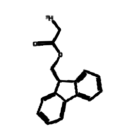 [3H]CC(=O)OCC1c2ccccc2-c2ccccc21